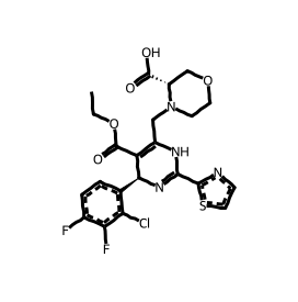 CCOC(=O)C1=C(CN2CCOC[C@H]2C(=O)O)NC(c2nccs2)=N[C@H]1c1ccc(F)c(F)c1Cl